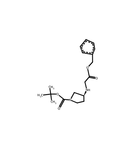 CC(C)(C)OC(=O)N1CC[C@H](NCC(=O)OCc2ccccc2)C1